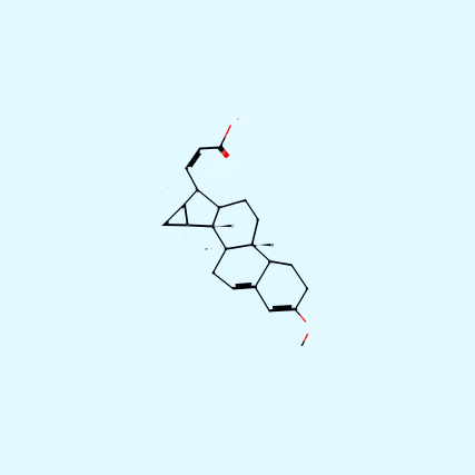 COC1=CC2=CC[C@@H]3[C@H](CC[C@@]4(C)[C@H]3[C@H]3C[C@H]3[C@@]4(O)/C=C\C(=O)O)[C@H]2CC1